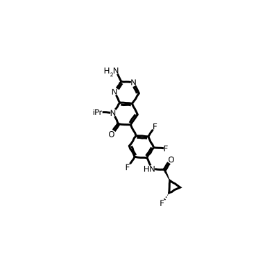 CC(C)n1c(=O)c(-c2cc(F)c(NC(=O)[C@H]3C[C@@H]3F)c(F)c2F)cc2cnc(N)nc21